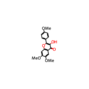 COc1ccc(-c2oc3cc(OC)c(OC)cc3c(=O)c2O)cc1